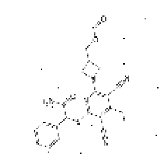 CCc1c(C#N)c(SC(C(N)=O)c2ccccc2)nc(N2CC(COC=O)C2)c1C#N